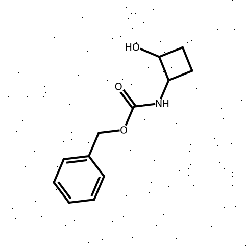 O=C(NC1CCC1O)OCc1ccccc1